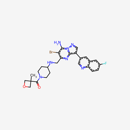 CC1(C(=O)N2CCC(NCc3nc4c(-c5cnc6ccc(F)cc6c5)cnn4c(N)c3Br)CC2)COC1